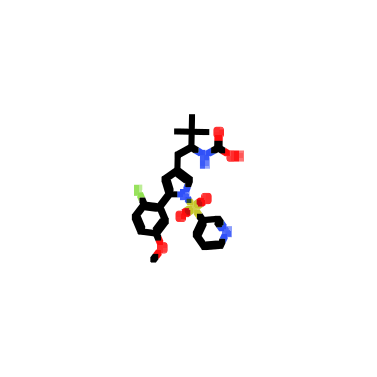 COc1ccc(F)c(-c2cc(CC(NC(=O)O)C(C)(C)C)cn2S(=O)(=O)c2cccnc2)c1